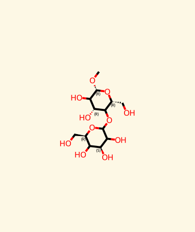 CO[C@@H]1O[C@H](CO)C(OC2O[C@H](CO)C(O)[C@H](O)C2O)[C@H](O)C1O